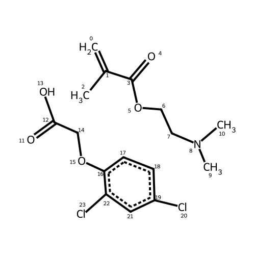 C=C(C)C(=O)OCCN(C)C.O=C(O)COc1ccc(Cl)cc1Cl